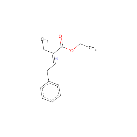 CCOC(=O)/C(=C/Cc1ccccc1)CC